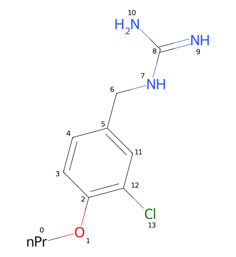 CCCOc1ccc(CNC(=N)N)cc1Cl